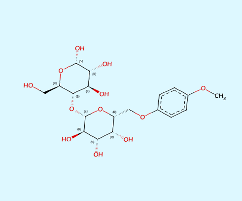 COc1ccc(OC[C@H]2O[C@@H](O[C@H]3[C@H](O)[C@@H](O)[C@@H](O)O[C@@H]3CO)[C@H](O)[C@@H](O)[C@H]2O)cc1